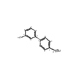 CC(C)(C)c1ccc(-c2cccc(F)c2)cc1